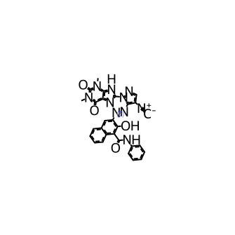 [C-]#[N+]c1cnn(-c2nc3c(=O)n(C)c(=O)n(C)c3[nH]2)c1/N=N/c1cc2ccccc2c(C(=O)Nc2ccccc2)c1O